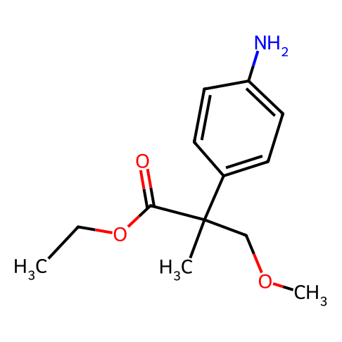 CCOC(=O)C(C)(COC)c1ccc(N)cc1